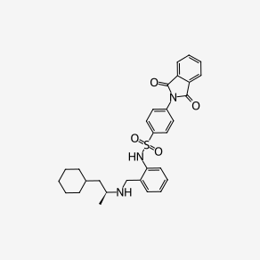 C[C@@H](CC1CCCCC1)NCc1ccccc1NS(=O)(=O)c1ccc(N2C(=O)c3ccccc3C2=O)cc1